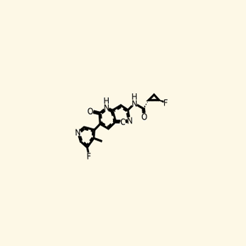 Cc1c(F)cncc1-c1cc2cnc(NC(=O)[C@@H]3C[C@H]3F)cc2[nH]c1=O